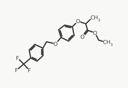 CCOC(=O)C(C)Oc1ccc(OCc2ccc(C(F)(F)F)cc2)cc1